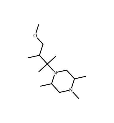 COCC(C)C(C)(C)N1CC(C)N(C)CC1C